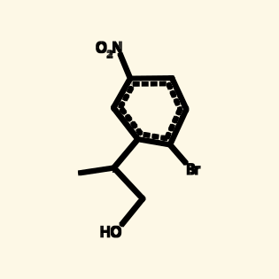 C[C](CO)c1cc([N+](=O)[O-])ccc1Br